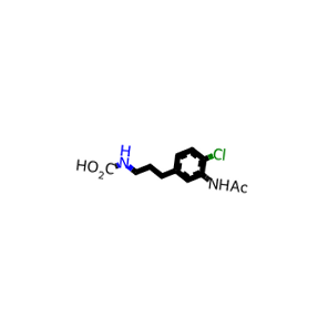 CC(=O)Nc1cc(CCCNC(=O)O)ccc1Cl